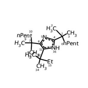 CCCCCC(C)(C)c1nc(C(C)(C)CCCCC)c(C(C)(C)CC)[nH]1